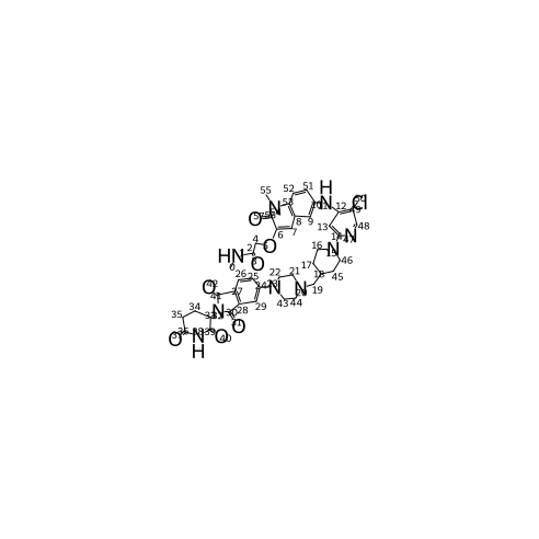 CNC(=O)COc1cc2cc(Nc3cc(N4CCC(CN5CCN(c6ccc7c(c6)C(=O)N(C6CCC(=O)NC6=O)C7=O)CC5)CC4)ncc3Cl)ccc2n(C)c1=O